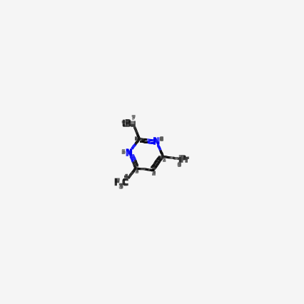 CC(C)c1cc(C(F)(F)F)nc(C(C)(C)C)n1